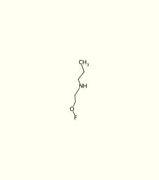 CCCNCCOF